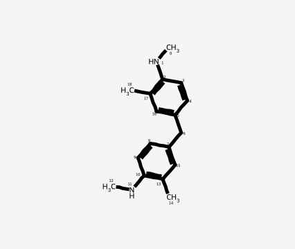 CNc1ccc(Cc2ccc(NC)c(C)c2)cc1C